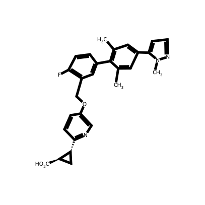 Cc1cc(-c2ccnn2C)cc(C)c1-c1ccc(F)c(COc2ccc([C@@H]3C[C@H]3C(=O)O)nc2)c1